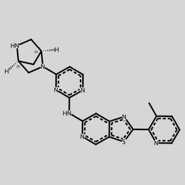 Cc1cccnc1-c1nc2cc(Nc3nccc(N4C[C@@H]5C[C@H]4CN5)n3)ncc2s1